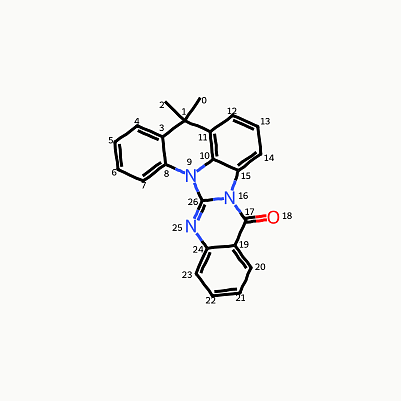 CC1(C)c2ccccc2-n2c3c1cccc3n1c(=O)c3ccccc3nc21